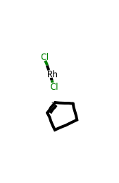 [C]1=CCCC1.[Cl][Rh][Cl]